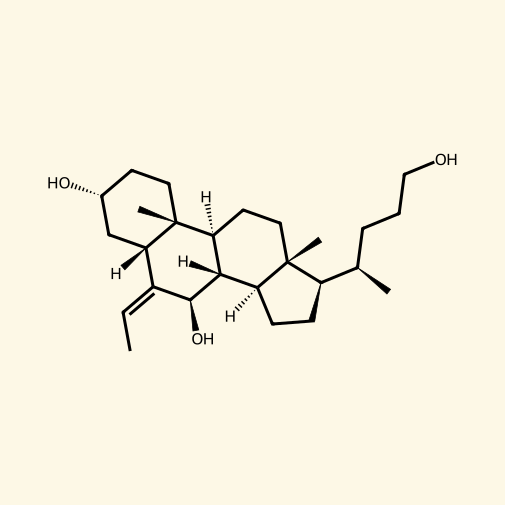 CC=C1[C@H](O)[C@@H]2[C@H](CC[C@]3(C)[C@@H]([C@H](C)CCCO)CC[C@@H]23)[C@@]2(C)CC[C@@H](O)C[C@@H]12